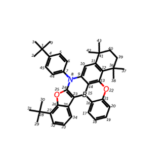 CC(C)(C)c1ccc(N2c3cc4c(c5c3B(c3ccccc3O5)c3c2oc2c(C(C)(C)C)cccc32)C(C)(C)CCC4(C)C)cc1